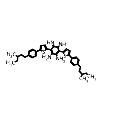 CCC(C)CCc1ccc(-c2ccc(C3=C(N)C(N)=C(c4ccc(-c5ccc(CCC(C)CC)cc5)s4)C(=N)C3=N)s2)cc1